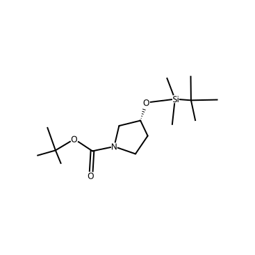 CC(C)(C)OC(=O)N1CC[C@@H](O[Si](C)(C)C(C)(C)C)C1